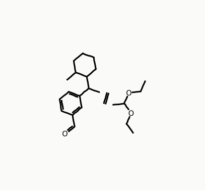 C=C.CC1CCCCC1C(C)c1cccc(C=O)c1.CCOC(C)OCC